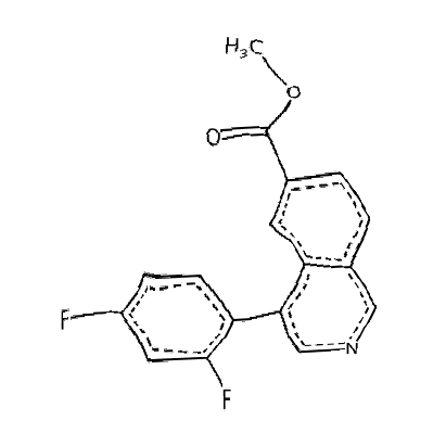 COC(=O)c1ccc2cncc(-c3ccc(F)cc3F)c2c1